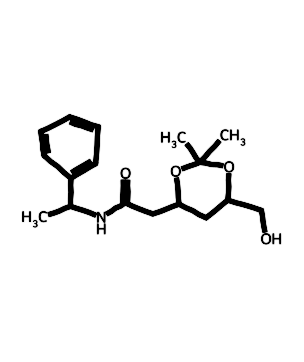 CC(NC(=O)CC1CC(CO)OC(C)(C)O1)c1ccccc1